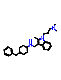 Cc1c(CNC2CCC(Cc3ccccc3)CC2)c2ccccc2n1CCCN(C)C